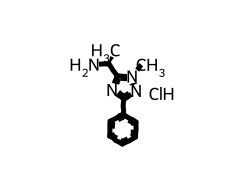 C[C@H](N)c1nc(-c2ccccc2)nn1C.Cl